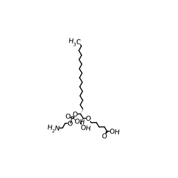 CCCCCCCCCCCCCCCC[C@@H](OP(=O)(O)OCCN)[C@H](CO)OCCCCC(=O)O